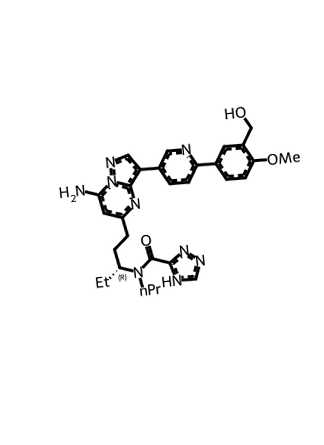 CCCN(C(=O)c1nnc[nH]1)[C@H](CC)CCc1cc(N)n2ncc(-c3ccc(-c4ccc(OC)c(CO)c4)nc3)c2n1